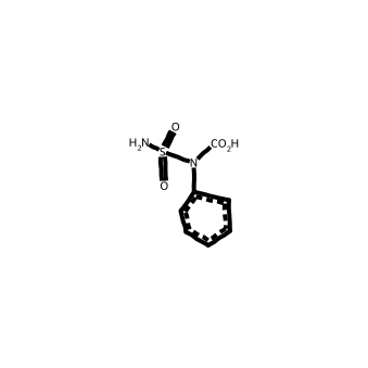 NS(=O)(=O)N(C(=O)O)c1ccccc1